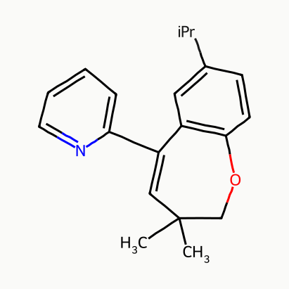 CC(C)c1ccc2c(c1)C(c1ccccn1)=CC(C)(C)CO2